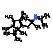 CC1=C(C)C(C)([SiH](C)C)C(CC(C)(C)[NH][Ti]([CH3])[CH3])=C1C